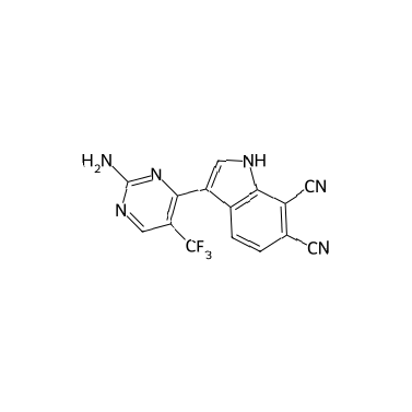 N#Cc1ccc2c(-c3nc(N)ncc3C(F)(F)F)c[nH]c2c1C#N